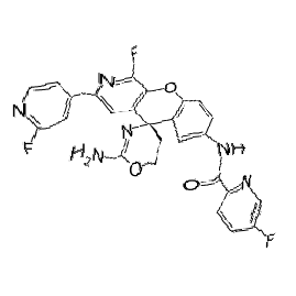 NC1=N[C@@]2(CCO1)c1cc(NC(=O)c3ccc(F)cn3)ccc1Oc1c2cc(-c2ccnc(F)c2)nc1F